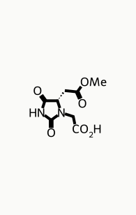 COC(=O)C[C@H]1C(=O)NC(=O)N1CC(=O)O